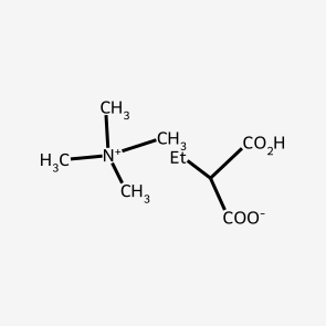 CCC(C(=O)[O-])C(=O)O.C[N+](C)(C)C